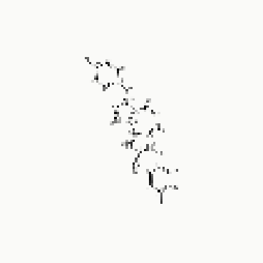 Cc1ccc(Cn2c3ncnc4c(ncn4Cc4ccc(C)cc4)c-3nc2=O)cc1